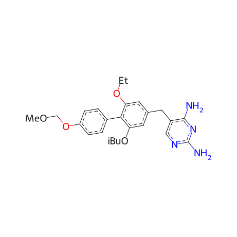 CCOc1cc(Cc2cnc(N)nc2N)cc(OCC(C)C)c1-c1ccc(OCOC)cc1